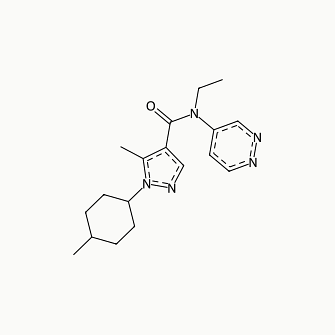 CCN(C(=O)c1cnn(C2CCC(C)CC2)c1C)c1ccnnc1